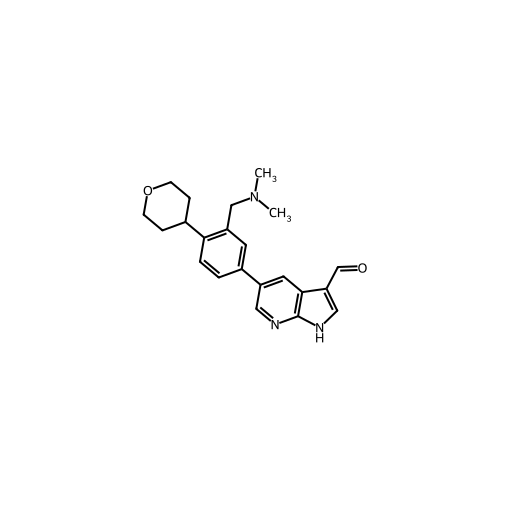 CN(C)Cc1cc(-c2cnc3[nH]cc(C=O)c3c2)ccc1C1CCOCC1